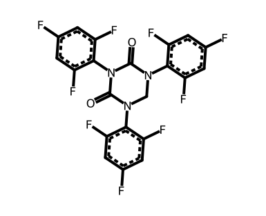 O=C1N(c2c(F)cc(F)cc2F)CN(c2c(F)cc(F)cc2F)C(=O)N1c1c(F)cc(F)cc1F